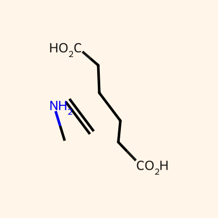 C=C.CN.O=C(O)CCCCC(=O)O